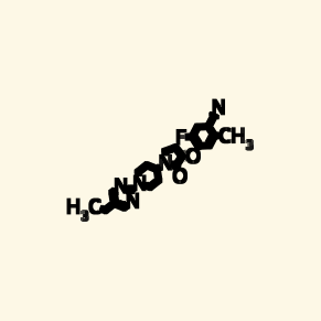 CCc1cnc(N2CCC(N3CC[C@H](OC4=C(F)CC(C#N)C(C)=C4)C3=O)CC2)nc1